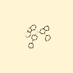 C1=Cc2c(oc3cccc(N(c4ccc(-c5ccccc5)cc4)c4cc(-c5ccccc5)c5ccccc5c4)c23)NC1